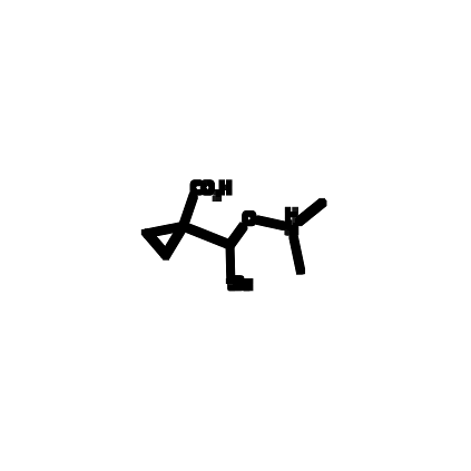 C[SiH](C)OC(C(C)(C)C)C1(C(=O)O)CC1